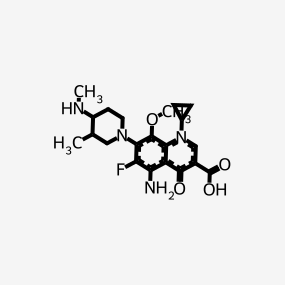 CNC1CCN(c2c(F)c(N)c3c(=O)c(C(=O)O)cn(C4CC4)c3c2OC)CC1C